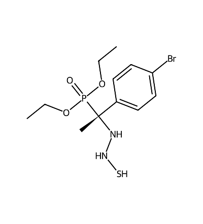 CCOP(=O)(OCC)[C@@](C)(NNS)c1ccc(Br)cc1